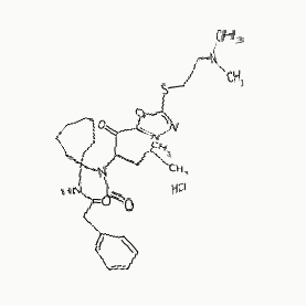 CC(C)CC(C(=O)c1nnc(SCCN(C)C)o1)N(C=O)C1(NC(=O)Cc2ccccc2)CCCCC1.Cl